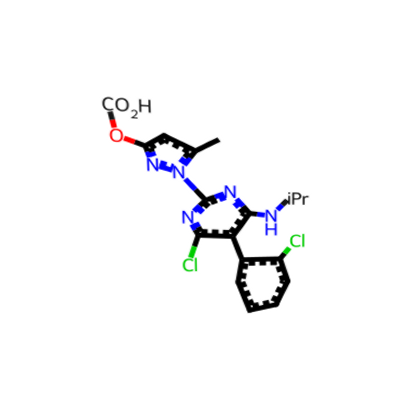 Cc1cc(OC(=O)O)nn1-c1nc(Cl)c(-c2ccccc2Cl)c(NC(C)C)n1